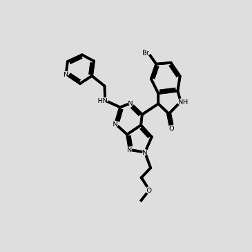 COCCn1cc2c(C3C(=O)Nc4ccc(Br)cc43)nc(NCc3cccnc3)nc2n1